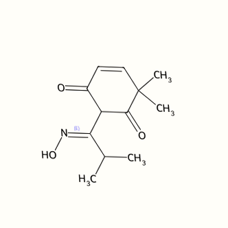 CC(C)/C(=N\O)C1C(=O)C=CC(C)(C)C1=O